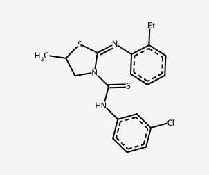 CCc1ccccc1/N=C1/SC(C)CN1C(=S)Nc1cccc(Cl)c1